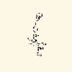 CCn1c(=C(C#N)C(=O)NCCO)sc(=CNc2ccc(CCN3CCCC3)cc2)c1=O